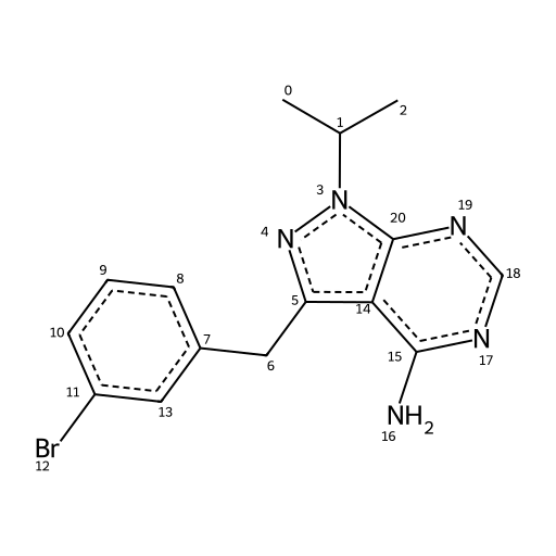 CC(C)n1nc(Cc2cccc(Br)c2)c2c(N)ncnc21